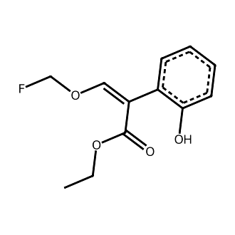 CCOC(=O)C(=COCF)c1ccccc1O